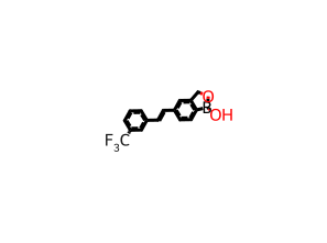 OB1OCc2cc(/C=C/c3cccc(C(F)(F)F)c3)ccc21